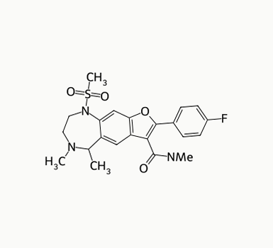 CNC(=O)c1c(-c2ccc(F)cc2)oc2cc3c(cc12)C(C)N(C)CCN3S(C)(=O)=O